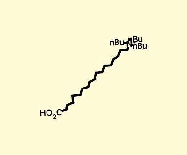 CCCC[N+](CCCC)(CCCC)CCCCCCCCCCCCCCCCCC(=O)O